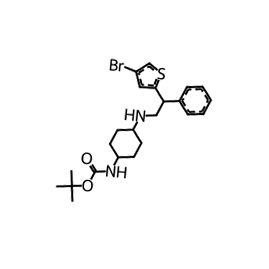 CC(C)(C)OC(=O)NC1CCC(NCC(c2ccccc2)c2cc(Br)cs2)CC1